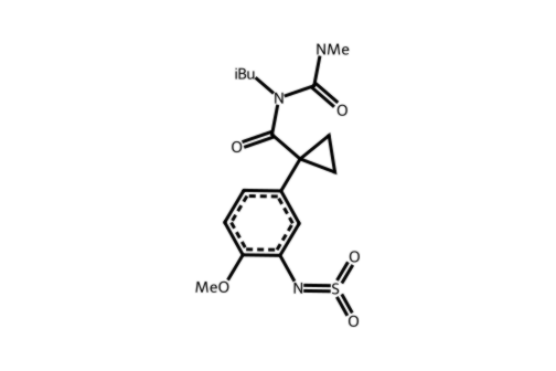 CCC(C)N(C(=O)NC)C(=O)C1(c2ccc(OC)c(N=S(=O)=O)c2)CC1